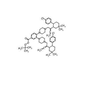 C=C=C(CN1CCN(c2ccc(C(=O)OOC(C)(C)C)cc2N2CCN(CC(=C=C)C3CC(C)(C)CCC3c3ccc(Cl)cc3)CC2)CC1)C1CC(C)(C)CCC1c1ccc(Cl)cc1